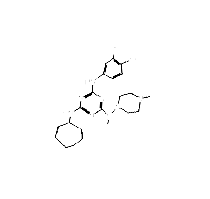 CN1CCN(N(C)c2nc(Nc3ccc(O)c(F)c3)nc(NC3CCCCCC3)n2)CC1